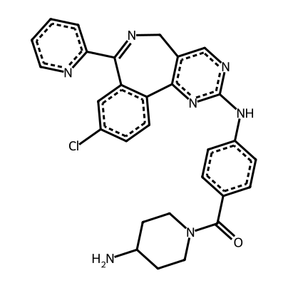 NC1CCN(C(=O)c2ccc(Nc3ncc4c(n3)-c3ccc(Cl)cc3C(c3ccccn3)=NC4)cc2)CC1